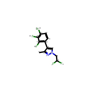 Cc1nn(CC(F)F)cc1-c1ccc(Br)c(F)c1F